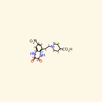 O=C(O)C1CCN(CCc2cc([N+](=O)[O-])cc3[nH]c(=O)c(=O)[nH]c23)CC1